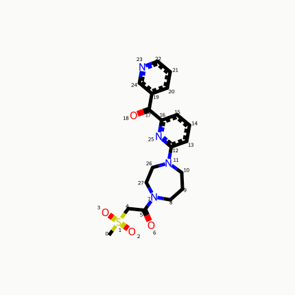 CS(=O)(=O)CC(=O)N1CCCN(c2cccc(C(=O)c3cccnc3)n2)CC1